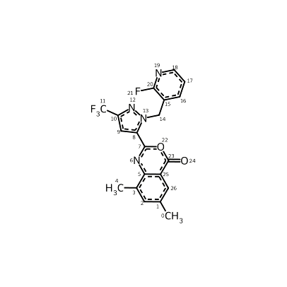 Cc1cc(C)c2nc(-c3cc(C(F)(F)F)nn3Cc3cccnc3F)oc(=O)c2c1